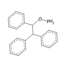 POC(c1ccccc1)C(c1ccccc1)c1ccccc1